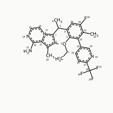 CCOc1c(C(C)c2nc(C)c3c(N)nccn23)cc(F)c(C)c1-c1ccc(C(F)(F)F)nc1